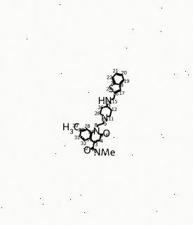 CNC(=O)c1cc(=O)n(CCN2CCC(NCc3cc4ccccc4s3)CC2)c2cc(C)ccc12